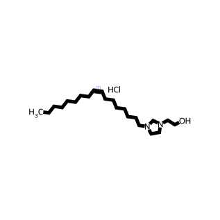 CCCCCCCC/C=C\CCCCCCCN1CCN(CCO)C1.Cl